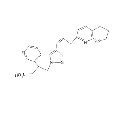 O=C(O)CC(Cn1cc(/C=C\Cc2ccc3c(n2)NCCC3)cn1)c1cccnc1